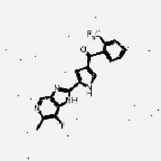 Cc1ncc2nc(-c3cc(C(=O)c4ccccc4C(F)(F)F)c[nH]3)[nH]c2c1F